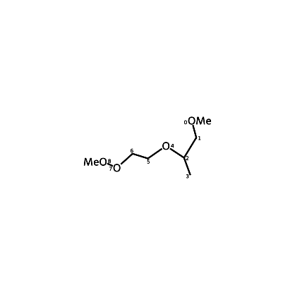 COCC(C)OCCOOC